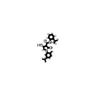 Cc1ccc(C(C)C)cc1N1CC(O)=C(C(=O)Nc2ccccc2C(C)C)C1=O